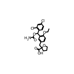 CCOc1ccc(CC2(C(=O)O)CCCO2)cc1C(OC(N)=O)c1ccc(Cl)cc1Cl